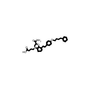 NC(=O)C1CN(CCCC(=O)O)c2cccc(C=Cc3ccc(OCCCCc4ccccc4)cc3)c2O1